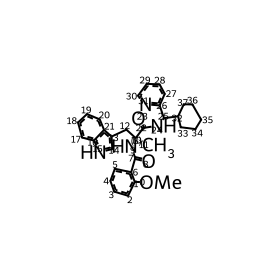 COc1ccccc1C(=O)N[C@@](C)(Cc1c[nH]c2ccccc12)C(=O)NC(c1ccccn1)C1CCCCC1